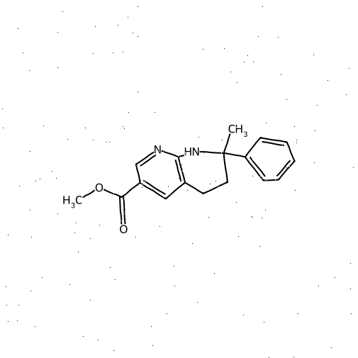 COC(=O)c1cnc2c(c1)CCC(C)(c1ccccc1)N2